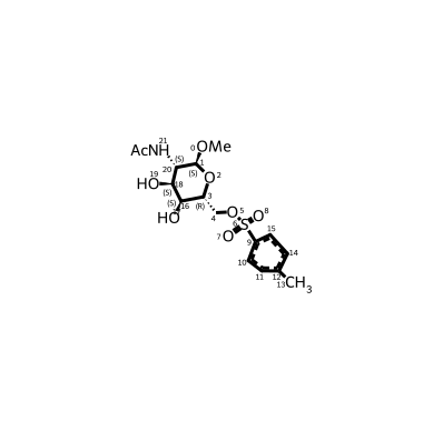 CO[C@H]1O[C@H](COS(=O)(=O)c2ccc(C)cc2)[C@@H](O)[C@@H](O)[C@@H]1NC(C)=O